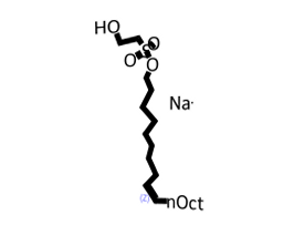 CCCCCCCC/C=C\CCCCCCCCOS(=O)(=O)CCO.[Na]